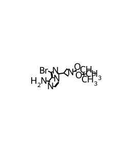 CC(C)(C)OC(=O)N1CC(c2nc(Br)c3c(N)nccn23)C1